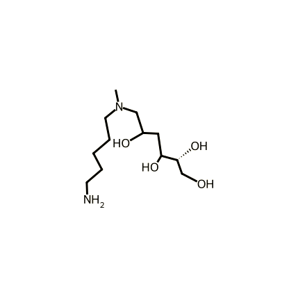 CN(CCCCCN)CC(O)CC(O)[C@H](O)CO